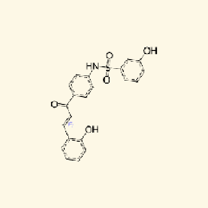 O=C(/C=C/c1ccccc1O)c1ccc(NS(=O)(=O)c2cccc(O)c2)cc1